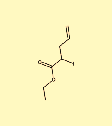 C=CCC(I)C(=O)OCC